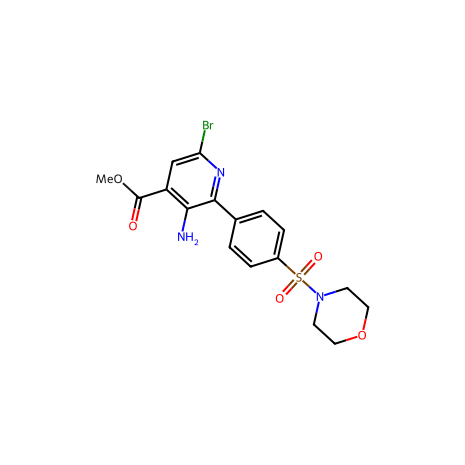 COC(=O)c1cc(Br)nc(-c2ccc(S(=O)(=O)N3CCOCC3)cc2)c1N